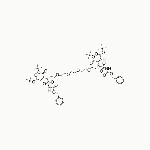 CC(C)(C)OC(=O)CC(C(=O)OC(C)(C)C)C(CCOCCOCCOCCOCCN(C(NC(=O)OC(C)(C)C)C(=O)OC(C)(C)C)S(=O)(=O)NC(=O)OCc1ccccc1)S(=O)(=O)NC(=O)OCc1ccccc1